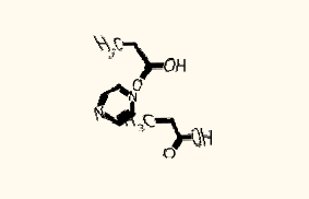 CCC(=O)O.CCC(=O)O.c1cnccn1